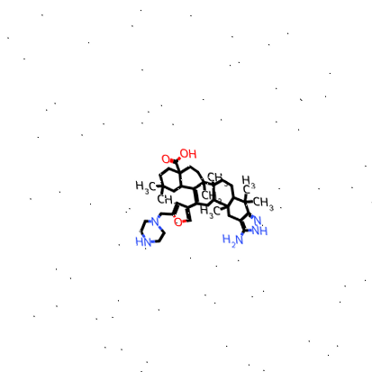 CC1(C)CCC2(C(=O)O)CCC3(C)C(=C(c4coc(CN5CCNCC5)c4)CC4C5(C)Cc6c(n[nH]c6N)C(C)(C)C5CCC43C)C2C1